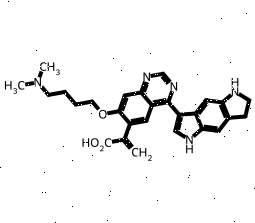 C=C(C(=O)O)c1cc2c(-c3c[nH]c4cc5c(cc34)NCC5)ncnc2cc1OCCCCN(C)C